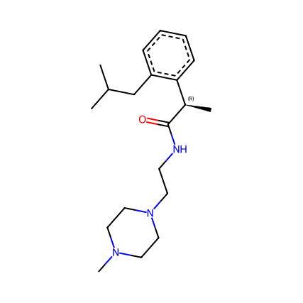 CC(C)Cc1ccccc1[C@@H](C)C(=O)NCCN1CCN(C)CC1